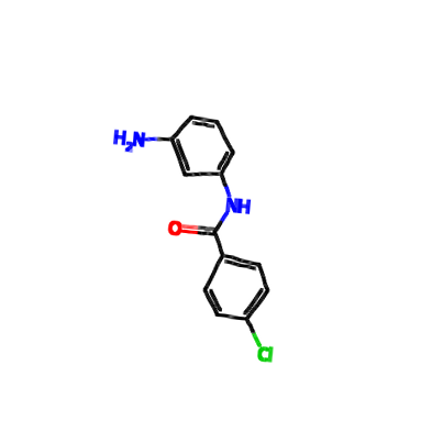 Nc1cccc(NC(=O)c2ccc(Cl)cc2)c1